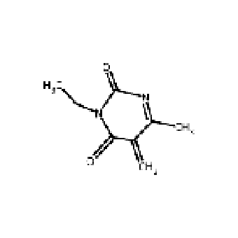 C=C1C(=O)N(CC)C(=O)N=C1C